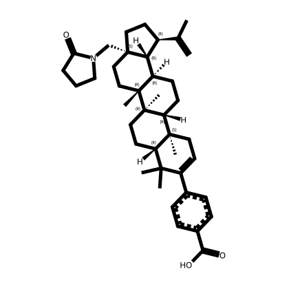 C=C(C)[C@@H]1CC[C@]2(CN3CCCC3=O)CC[C@]3(C)[C@H](CC[C@@H]4[C@@]5(C)CC=C(c6ccc(C(=O)O)cc6)C(C)(C)[C@@H]5CC[C@]43C)[C@@H]12